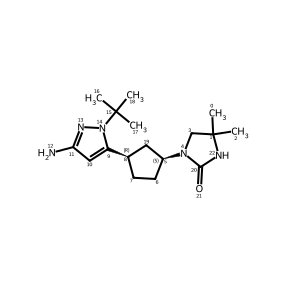 CC1(C)CN([C@H]2CC[C@@H](c3cc(N)nn3C(C)(C)C)C2)C(=O)N1